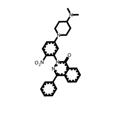 CN(C)C1CCN(c2ccc([N+](=O)[O-])c(-n3nc(-c4ccccc4)c4ccccc4c3=O)c2)CC1